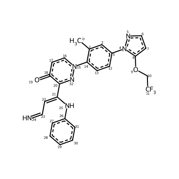 Cc1cc(-n2nccc2OCC(F)(F)F)ccc1-n1ccc(=O)c(/C(=C/C=N)Nc2ccccc2)n1